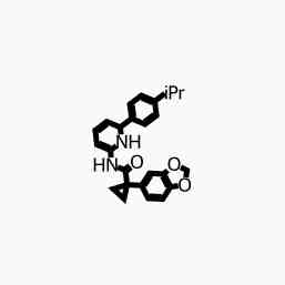 CC(C)c1ccc(C2C=CC=C(NC(=O)C3(c4ccc5c(c4)OCO5)CC3)N2)cc1